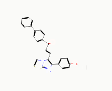 COc1ccc(-c2nc3sccn3c2/C=C/C(=O)c2ccc(-c3ccccc3)cc2)cc1